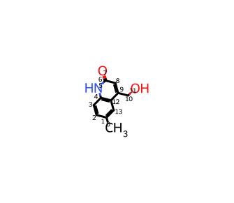 Cc1ccc2[nH]c(=O)cc(CO)c2c1